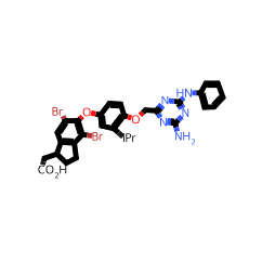 CC(C)c1cc(Oc2c(Br)cc3c(c2Br)CCC3CC(=O)O)ccc1OCc1nc(N)nc(Nc2ccccc2)n1